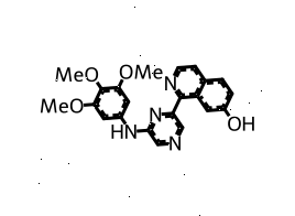 COc1cc(Nc2cncc(-c3nccc4ccc(O)cc34)n2)cc(OC)c1OC